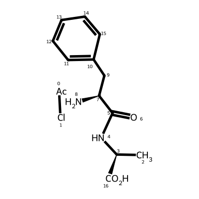 CC(=O)Cl.C[C@H](NC(=O)[C@@H](N)Cc1ccccc1)C(=O)O